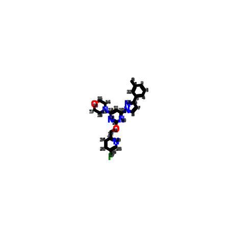 Cc1cccc(-c2ccn(-c3cc(N4CCOCC4)nc(OCc4ccc(F)cn4)n3)n2)c1